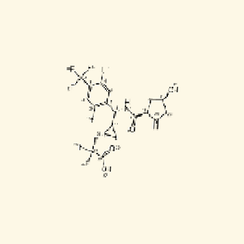 O=C(N[C@@H](c1cc(F)c(C(F)(F)F)cc1F)C1CC1)[C@H]1C[C@@H](O)CN1.O=C(O)C(F)(F)F